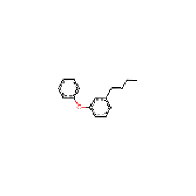 CCC=Cc1cccc(Oc2ccccc2)c1